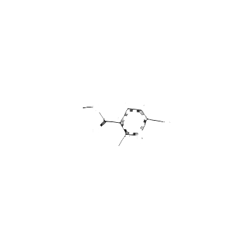 COC(=O)c1ccc(I)nc1C